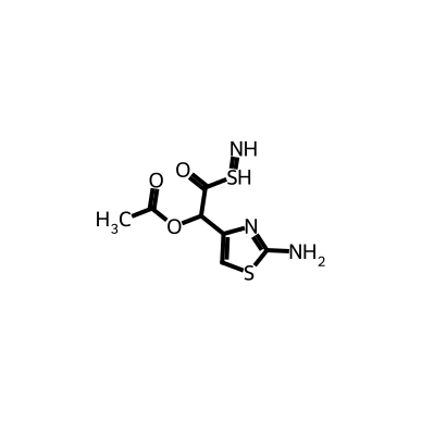 CC(=O)OC(C(=O)[SH]=N)c1csc(N)n1